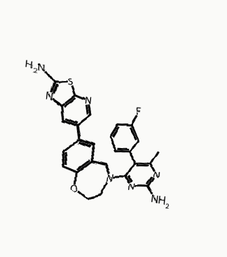 Cc1nc(N)nc(N2CCOc3ccc(-c4cnc5sc(N)nc5c4)cc3C2)c1-c1cccc(F)c1